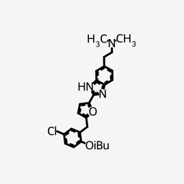 CC(C)COc1ccc(Cl)cc1Cc1ccc(-c2nc3ccc(CCN(C)C)cc3[nH]2)o1